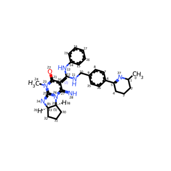 CC1CCCC(c2ccc(CN/C(Nc3ccccc3)=c3/c(=O)n(C)c4n(c3=N)[C@H]3CCC[C@H]3N=4)cc2)=N1